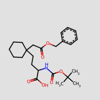 CC(C)(C)OC(=O)NC(CCC1(CC(=O)OCc2ccccc2)CCCCC1)C(=O)O